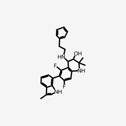 Cc1c[nH]c2c(-c3c(F)cc4c(c3F)C(NCCc3ccccc3)C(O)C(C)(C)N4)cccc12